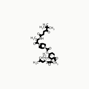 CO[C@H]1[C@H](C2(C)O[C@@H]2CC=C(C)C)[C@]2(CC[C@H]1OC(=O)N1CC3CC1CN3C(=O)[C@H](C)NC(=O)CCC(=O)C(C)(C)C)CO2